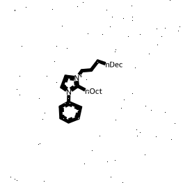 CCCCCCCCCCCCC[n+]1ccn(-c2ccccc2)c1CCCCCCCC